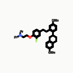 COc1ccc2c(c1)CCC(c1ccc(OC)cc1CCc1ccc(OCCN(C(C)C)C(C)C)c(F)c1)C2